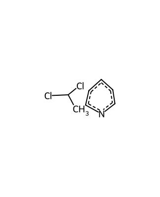 CC(Cl)Cl.c1ccncc1